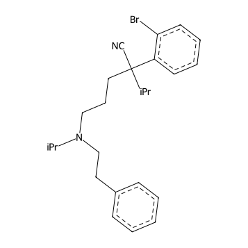 CC(C)N(CCCC(C#N)(c1ccccc1Br)C(C)C)CCc1ccccc1